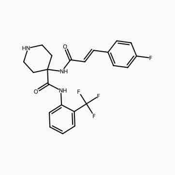 O=C(C=Cc1ccc(F)cc1)NC1(C(=O)Nc2ccccc2C(F)(F)F)CCNCC1